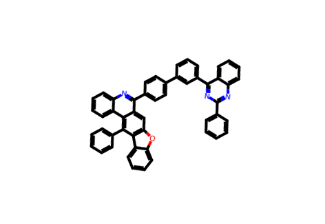 c1ccc(-c2nc(-c3cccc(-c4ccc(-c5nc6ccccc6c6c(-c7ccccc7)c7c(cc56)oc5ccccc57)cc4)c3)c3ccccc3n2)cc1